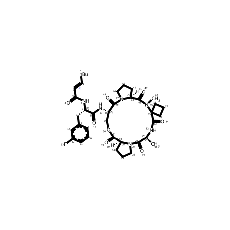 CCCC/C=C/C(=O)N[C@@H](Cc1cccc(F)c1)C(=O)N[C@H]1COC(=O)[C@@H]2CCCN2C(=O)[C@H](C)NC(=O)C2(CCC2)N(C)C(=O)[C@@H]2CCCN2C1=O